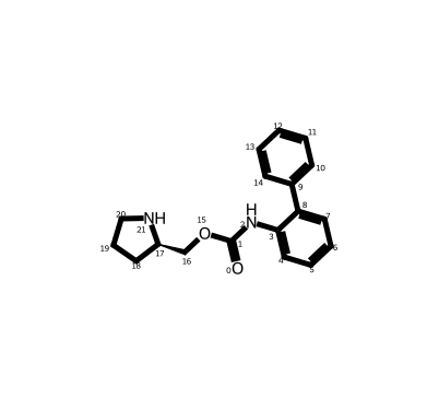 O=C(Nc1ccccc1-c1ccccc1)OC[C@H]1CCCN1